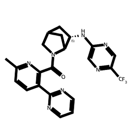 Cc1ccc(-c2ncccn2)c(C(=O)N2CC3CC2[C@@H](Nc2cnc(C(F)(F)F)cn2)C3)n1